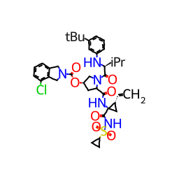 C=C[C@@H]1C[C@]1(NC(=O)C1C[C@@H](OC(=O)N2Cc3cccc(Cl)c3C2)CN1C(=O)[C@@H](Nc1cccc(C(C)(C)C)c1)C(C)C)C(=O)NS(=O)(=O)C1CC1